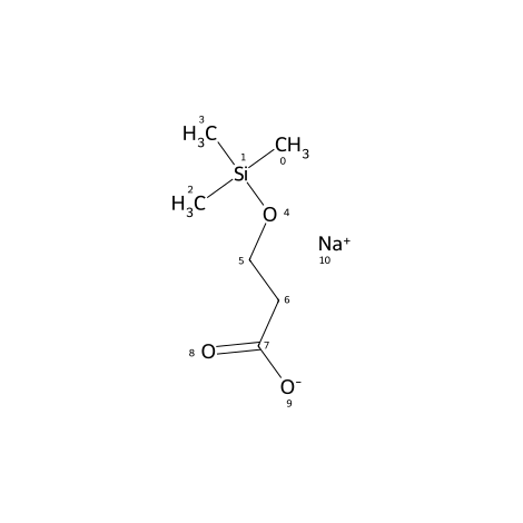 C[Si](C)(C)OCCC(=O)[O-].[Na+]